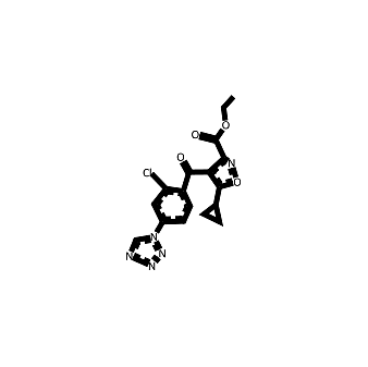 CCOC(=O)c1noc(C2CC2)c1C(=O)c1ccc(-n2cnnn2)cc1Cl